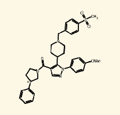 COc1ccc(-n2ncc(C(=O)N3CC[C@H](c4ccccc4)C3)c2C2CCN(Cc3ccc(S(C)(=O)=O)cc3)CC2)cc1